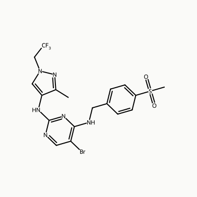 Cc1nn(CC(F)(F)F)cc1Nc1ncc(Br)c(NCc2ccc(S(C)(=O)=O)cc2)n1